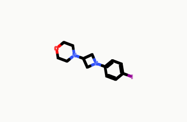 Ic1ccc(N2CC(N3CCOCC3)C2)cc1